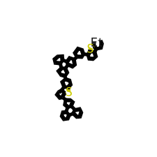 C/C=C\c1c(CC)sc2c(-c3cccc(-c4ccc5c(c4)c4ccccc4c4ccc(-c6ccc7sc8c(-c9ccc%10c%11ccccc%11c%11ccccc%11c%10c9)cccc8c7c6)cc45)c3)cccc12